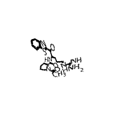 CC(=O)N1CCCC[C@H]1C(=O)NC(CCCNC(=N)N)C(=O)c1nc2ccccc2s1